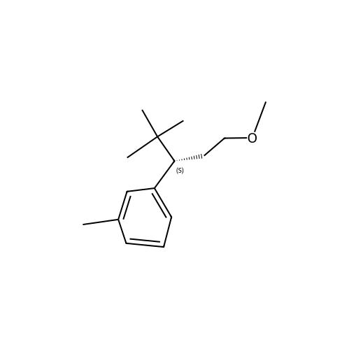 COCC[C@H](c1cccc(C)c1)C(C)(C)C